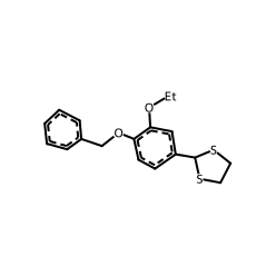 CCOc1cc(C2SCCS2)ccc1OCc1ccccc1